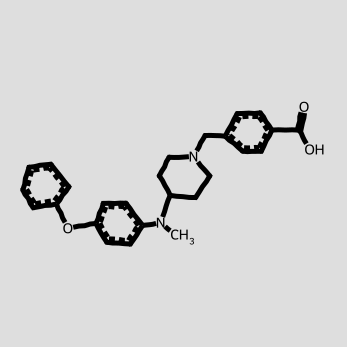 CN(c1ccc(Oc2ccccc2)cc1)C1CCN(Cc2ccc(C(=O)O)cc2)CC1